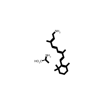 CC(C=CC1=C(C)CCCC1(C)C)=CC=CC(C)=CCN.C[C@H](N)C(=O)O